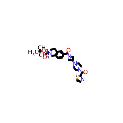 CC(C)(C)OC(=O)N1CCc2cc(C(=O)N3CC(N4CCN(C(=O)c5nccs5)CC4)C3)ccc2C1